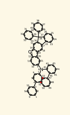 c1ccc(-c2ccc(N(c3ccc4oc5cc6c(cc5c4c3)-c3ccccc3C6(c3ccccc3)c3ccccc3)c3ccccc3-c3ccccc3)cc2)cc1